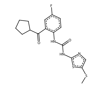 CSc1cnc(NC(=O)Nc2ccc(F)cc2C(=O)C2CCCC2)s1